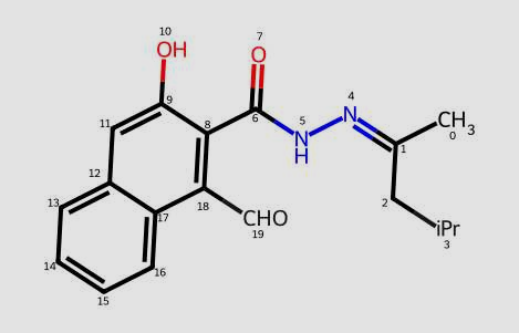 CC(CC(C)C)=NNC(=O)c1c(O)cc2ccccc2c1C=O